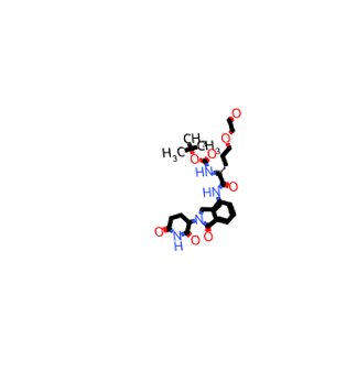 CC(C)(C)OC(=O)N[C@H](CCCOCC=O)C(=O)Nc1cccc2c1CN(C1CCC(=O)NC1=O)C2=O